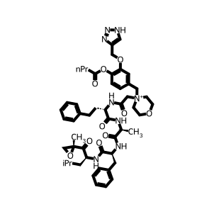 CCCC(=O)Oc1ccc(C[N+]2(CC(=O)N[C@@H](CCc3ccccc3)C(=O)N[C@@H](C)C(=O)N[C@@H](Cc3ccccc3)C(=O)N[C@@H](CC(C)C)C(=O)[C@@]3(C)CO3)CCOCC2)cc1OCc1c[nH]nn1